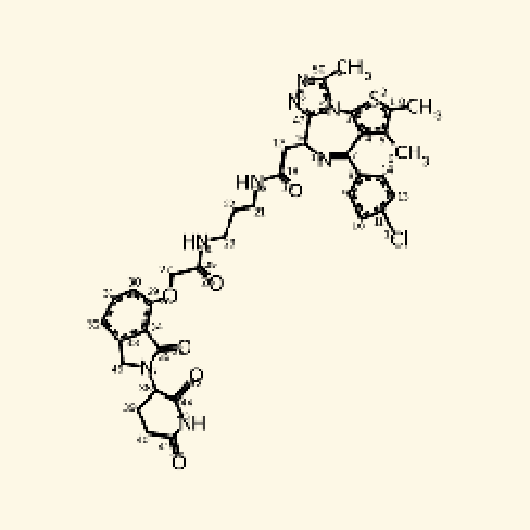 Cc1sc2c(c1C)C(c1ccc(Cl)cc1)=N[C@@H](CC(=O)NCCCNC(=O)COc1cccc3c1C(=O)N(C1CCC(=O)NC1=O)C3)c1nnc(C)n1-2